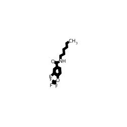 CCCCCCNC(=O)c1ccc(OC(F)(F)F)c(F)c1